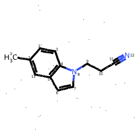 Cc1ccc2c(ccn2CCC#N)c1